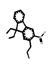 CCCc1cc2c(cc1[N+](=O)[O-])-c1ccccc1C2(CC)CC